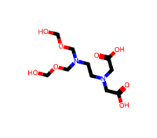 O=C(O)CN(CCN(COCO)COCO)CC(=O)O